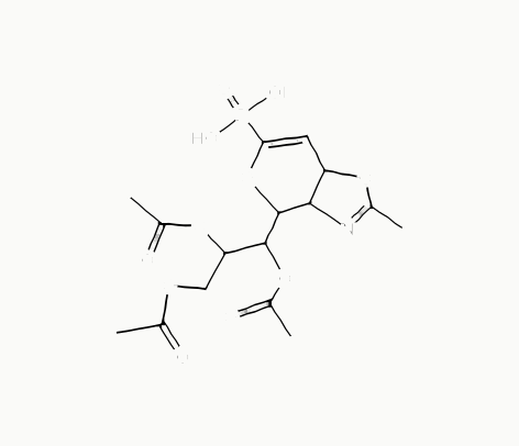 CC(=O)OCC(OC(C)=O)C(OC(C)=O)C1OC(P(=O)(O)O)=CC2OC(C)=NC21